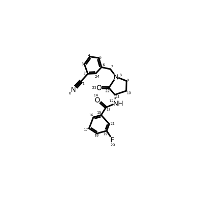 N#Cc1cccc(CN2CC[C@H](NC(=O)c3cccc(F)c3)C2=O)c1